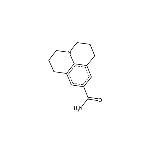 NC(=O)c1cc2c3c(c1)CCCN3CCC2